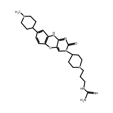 CN1CCC(c2ccc3c(c2)Nc2nc(=O)n(C4CCN(CCCNC(=N)N)CC4)cc2O3)CC1